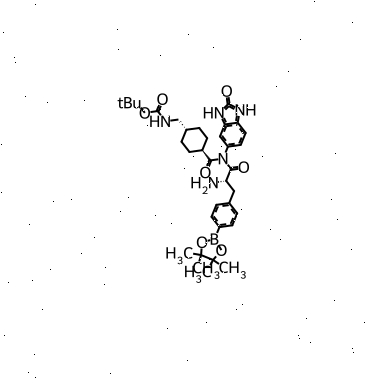 CC(C)(C)OC(=O)NC[C@H]1CC[C@H](C(=O)N(C(=O)[C@@H](N)Cc2ccc(B3OC(C)(C)C(C)(C)O3)cc2)c2ccc3[nH]c(=O)[nH]c3c2)CC1